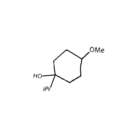 COC1CCC(O)(C(C)C)CC1